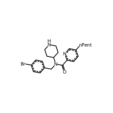 CCCCCc1ccc(C(=O)N(Cc2ccc(Br)cc2)C2CCNCC2)nc1